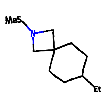 CCC1CCC2(CC1)CN(SC)C2